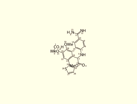 CC(=O)O.COC(=O)C(Nc1ccc(C(=N)N)cc1)c1cc(OC)c(OC)cc1-c1cccs1